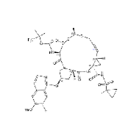 CC[C@@H]1C[C@@H](C)CC/C=C\[C@@H]2C[C@@]2(C(=O)NS(=O)(=O)C2(C)CC2)NC(=O)[C@@H]2C[C@@H](Oc3nccc4cc(OC)c(F)cc34)CN2C(=O)[C@H]1NC(=O)OC(C)(C)C(F)(F)F